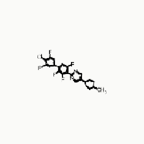 CC1CCC(c2cnc(-c3c(F)cc(-c4cc(F)c(Cl)c(F)c4)c(F)c3F)nc2)CC1